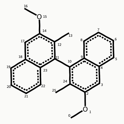 COc1cc2ccccc2c(-c2c(C)c(OC)cc3ccccc23)c1C